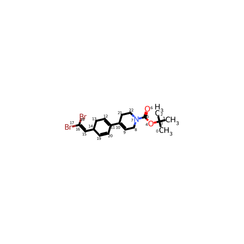 CC(C)(C)OC(=O)N1CC=C(C2=CCC(C=C(Br)Br)C=C2)CC1